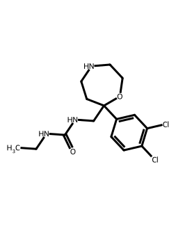 CCNC(=O)NCC1(c2ccc(Cl)c(Cl)c2)CCNCCO1